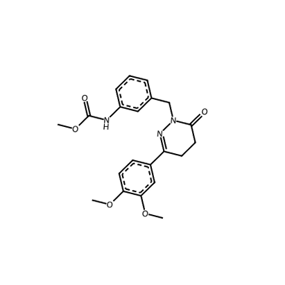 COC(=O)Nc1cccc(CN2N=C(c3ccc(OC)c(OC)c3)CCC2=O)c1